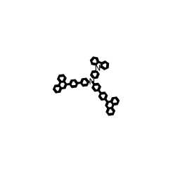 c1ccc2c(c1)cc(-c1ccc(-c3ccc(N(c4ccc(-c5ccc(-c6cc7ccccc7c7ccccc67)cc5)cc4)c4ccc(-n5c6ccccc6c6ccccc65)cc4)cc3)cc1)c1ccccc12